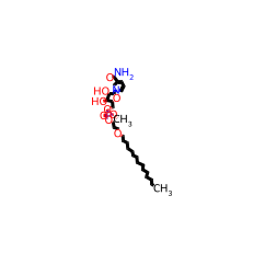 CCCCCCCCCCCCCCCOCCCOP(=O)(OC)OCC1OC(N2C=CC=C(C(N)=O)C2)C(O)C1O